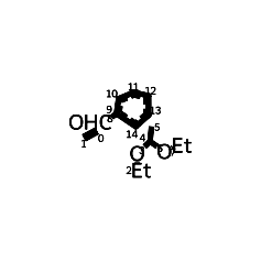 C=C.CCOC(C)OCC.O=Cc1ccccc1